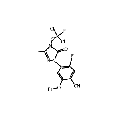 CCOc1cc(-n2nc(C)n(SC(F)(Cl)Cl)c2=O)c(F)cc1C#N